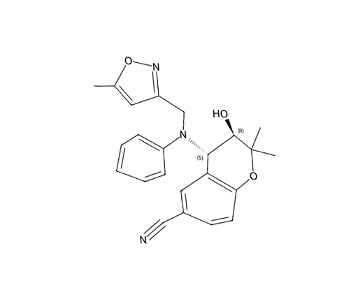 Cc1cc(CN(c2ccccc2)[C@H]2c3cc(C#N)ccc3OC(C)(C)[C@@H]2O)no1